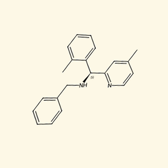 Cc1ccnc([C@@H](NCc2ccccc2)c2ccccc2C)c1